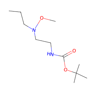 CCCN(CCNC(=O)OC(C)(C)C)OC